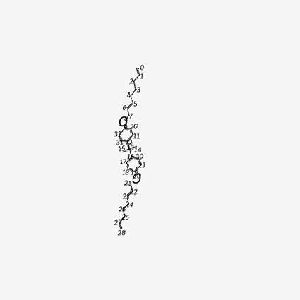 C=CCCC/C=C/COc1ccc(C(C)(C)c2ccc(OC/C=C/CCCC=C)cc2)cc1